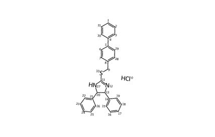 Cl.c1ccc(-c2ccc(CSC3=NC(c4ccccc4)C(c4ccccc4)N3)cc2)cc1